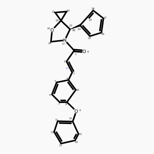 O=C(/C=C/c1cccc(Oc2ccccc2)c1)N1COC2(CC2)[C@H]1c1ccccc1